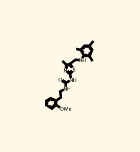 COc1ccccc1CCNC(=O)Nc1nc(C)c(CNc2c(C)cc(C)cc2C)s1